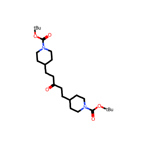 CC(C)(C)OC(=O)N1CCC(CCC(=O)CCC2CCN(C(=O)OC(C)(C)C)CC2)CC1